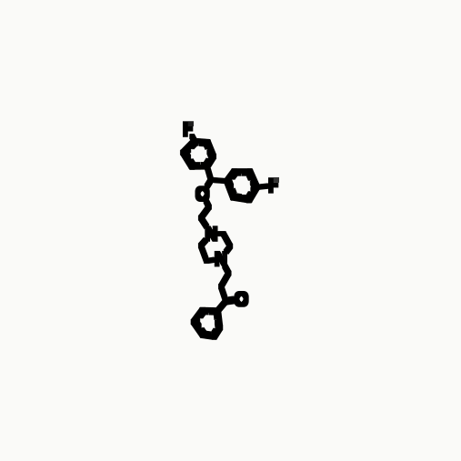 O=C(CCN1CCN(CCOC(c2ccc(F)cc2)c2ccc(F)cc2)CC1)c1ccccc1